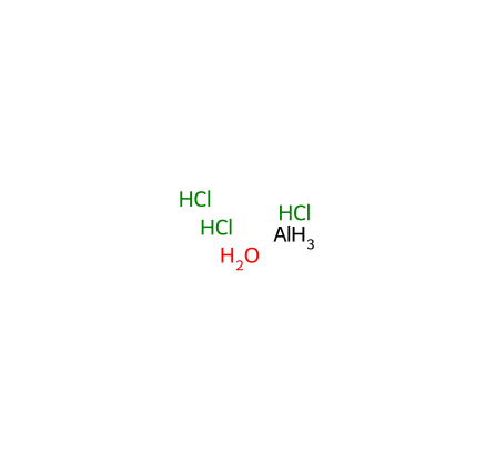 Cl.Cl.Cl.O.[AlH3]